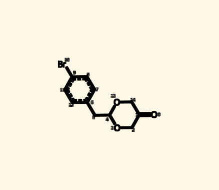 O=C1COC(Cc2ccc(Br)cc2)OC1